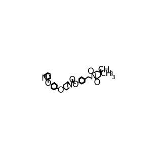 CC1(C)CC(=O)N(CCc2ccc(OC(=O)N3CCC(Oc4ccc(Oc5ccccn5)cc4)CC3)cc2)C(=O)C1